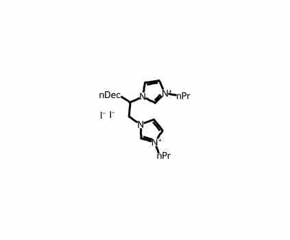 CCCCCCCCCCC(Cn1cc[n+](CCC)c1)n1cc[n+](CCC)c1.[I-].[I-]